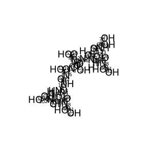 O=C(O)CN(CCN(CC(=O)O)CC(=O)NCC(=O)Nc1c(I)c(C(=O)NCC(O)CO)c(I)c(C(=O)NCC(O)CO)c1I)CCN(CC(=O)O)CC(=O)NCC(=O)Nc1c(I)c(C(=O)NCC(O)CO)c(I)c(C(=O)NCC(O)CO)c1I